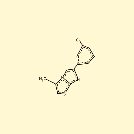 Cc1csc2nc(-c3cccc(Cl)c3)cn12